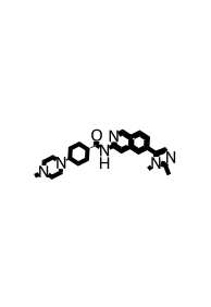 Cc1ncc(-c2ccc3cnc(NC(=O)[C@H]4CC[C@@H](N5CCN(C)CC5)CC4)cc3c2)n1C